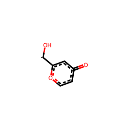 O=c1ccoc([CH]O)c1